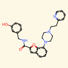 O=C(NCc1cccc(O)c1)c1cc2cccc(N3CCN(CCc4ccccn4)CC3)c2o1